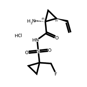 C=C[C@@H]1C[C@]1(N)C(=O)NS(=O)(=O)C1(CF)CC1.Cl